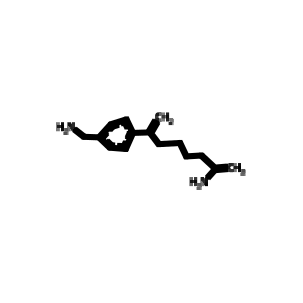 C=C(N)CCCCC(=C)c1ccc(CN)cc1